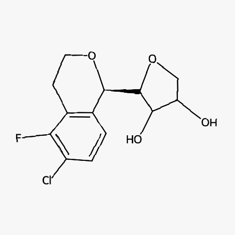 OC1COC([C@@H]2OCCc3c2ccc(Cl)c3F)C1O